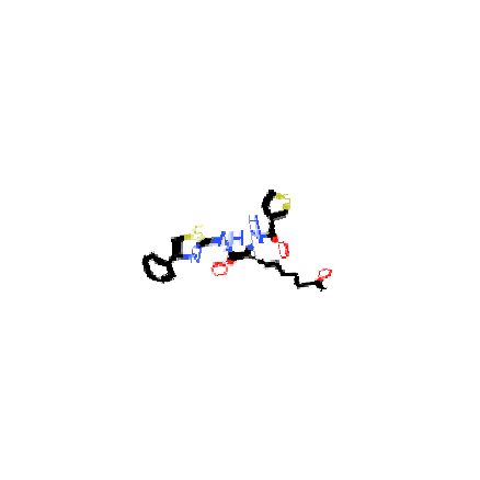 CC(=O)CCCCC[C@H](NC(=O)c1ccsc1)C(=O)Nc1nc(-c2ccccc2)cs1